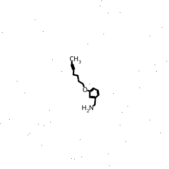 CC#CCCCCOc1cccc(CN)c1